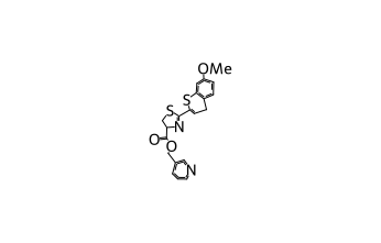 COc1ccc2c(c1)SC(C1=NC(C(=O)OCc3cccnc3)CS1)=CC2